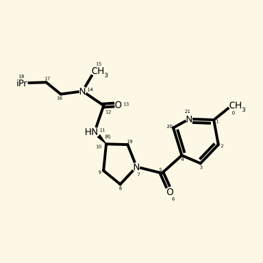 Cc1ccc(C(=O)N2CC[C@@H](NC(=O)N(C)CCC(C)C)C2)cn1